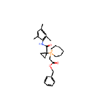 Cc1cc(C)c(NC(=O)C2([PH]3(CC(=O)OCc4ccccc4)CCCCCC3)CC2)c(C)c1